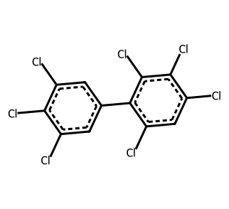 Clc1cc(-c2c(Cl)cc(Cl)c(Cl)c2Cl)cc(Cl)c1Cl